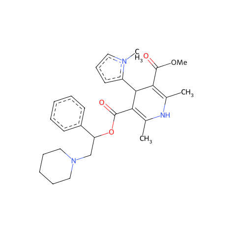 COC(=O)C1=C(C)NC(C)=C(C(=O)OC(CN2CCCCC2)c2ccccc2)C1c1cccn1C